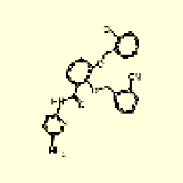 N#Cc1ccccc1COc1c(OCc2ccccc2Cl)cccc1C(=O)Nc1ccc(N)cn1